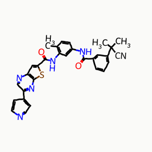 Cc1ccc(NC(=O)c2cccc(C(C)(C)C#N)c2)cc1NC(=O)c1cc2ncc(-c3ccncc3)nc2s1